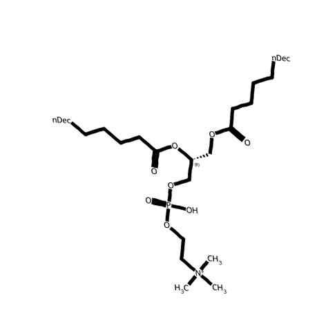 CCCCCCCCCCCCCCC(=O)OC[C@H](COP(=O)(O)OCC[N+](C)(C)C)OC(=O)CCCCCCCCCCCCCC